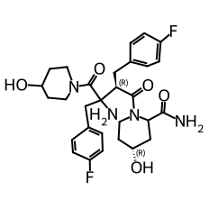 NC(=O)C1C[C@H](O)CCN1C(=O)[C@H](Cc1ccc(F)cc1)C(N)(Cc1ccc(F)cc1)C(=O)N1CCC(O)CC1